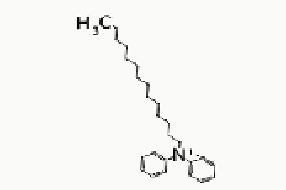 CCCCCCCCCCCCCC[N+](c1ccccc1)c1ccccc1